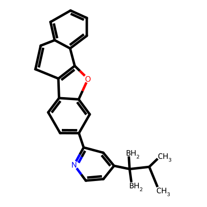 BC(B)(c1ccnc(-c2ccc3c(c2)oc2c4ccccc4ccc32)c1)C(C)C